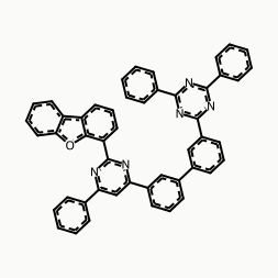 c1ccc(-c2cc(-c3cccc(-c4cccc(-c5nc(-c6ccccc6)nc(-c6ccccc6)n5)c4)c3)nc(-c3cccc4c3oc3ccccc34)n2)cc1